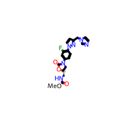 COC(=O)NC[C@H]1CN(c2ccc(-n3ccc(Cn4ccnc4)n3)c(F)c2)C(=O)O1